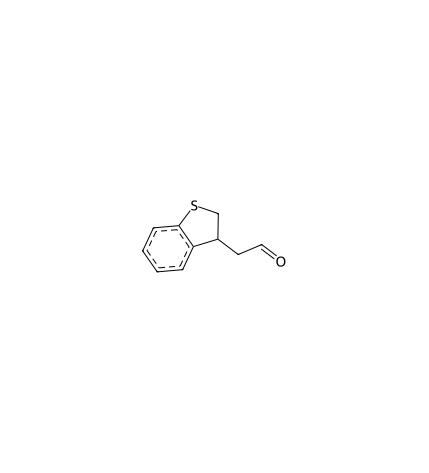 O=CCC1CSc2ccccc21